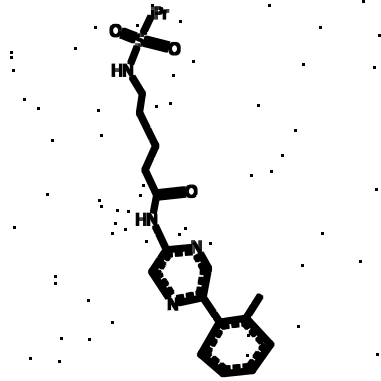 Cc1ccccc1-c1cnc(NC(=O)CCCCNS(=O)(=O)C(C)C)cn1